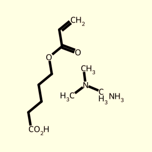 C=CC(=O)OCCCCC(=O)O.CN(C)C.N